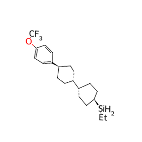 CC[SiH2][C@H]1CC[C@H]([C@H]2CC[C@H](c3ccc(OC(F)(F)F)cc3)CC2)CC1